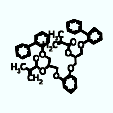 C=C(C)C(=O)OC(COc1ccccc1OCC(COc1ccccc1-c1ccccc1)OC(=O)C(=C)C)COc1ccccc1-c1ccccc1